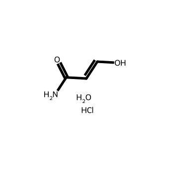 Cl.NC(=O)C=CO.O